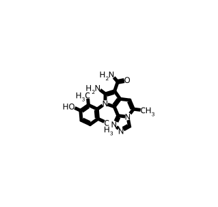 Cc1ccc(O)c(C)c1-n1c(N)c(C(N)=O)c2cc(C)n3cnnc3c21